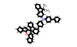 CC1(C)c2ccccc2-c2ccc(N(c3ccc(-c4ccccc4)cc3)c3ccc(-c4cccc5c4-c4ccccc4C54c5ccc6ccccc6c5Oc5c4ccc4ccccc54)cc3)cc21